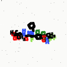 C[C@H](NS(=O)(=O)c1ccc(-c2c(F)c(C(=O)NCCC(C)(C)C(=O)O)nn2CC2CCCCC2)c(Cl)c1Cl)C(F)(F)F